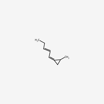 CCC=CC=C1CC1C